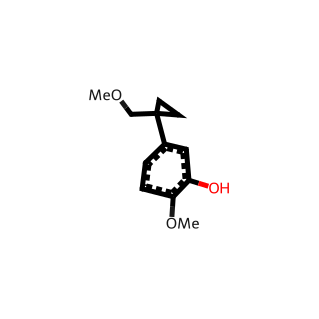 COCC1(c2ccc(OC)c(O)c2)CC1